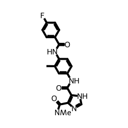 CNC(=O)c1nc[nH]c1C(=O)Nc1ccc(NC(=O)c2ccc(F)cc2)c(C)c1